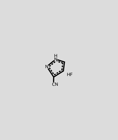 F.N#Cc1cc[nH]n1